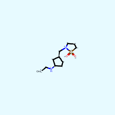 O=[C]CN[C@@H]1CC[C@H](CN2CCCS2(=O)=O)C1